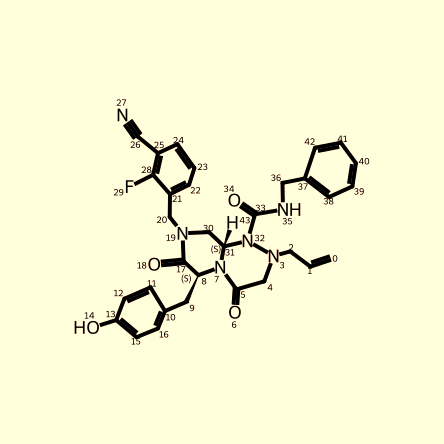 C=CCN1CC(=O)N2[C@@H](Cc3ccc(O)cc3)C(=O)N(Cc3cccc(C#N)c3F)C[C@@H]2N1C(=O)NCc1ccccc1